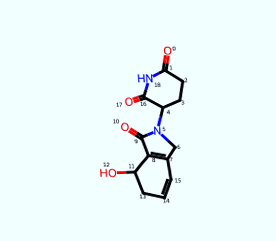 O=C1CCC(N2CC3=C(C2=O)C(O)CC=C3)C(=O)N1